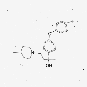 CC1CCN(CCC(C)(O)c2ccc(Oc3ccc(F)cc3)cc2)CC1